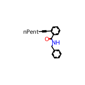 CCCCCC#Cc1ccccc1C(=O)NCc1ccccc1